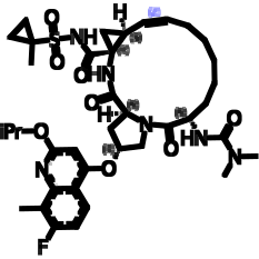 Cc1c(F)ccc2c(O[C@@H]3C[C@H]4C(=O)N[C@]5(C(=O)NS(=O)(=O)C6(C)CC6)C[C@H]5/C=C\CCCCC[C@H](NC(=O)N(C)C)C(=O)N4C3)cc(OC(C)C)nc12